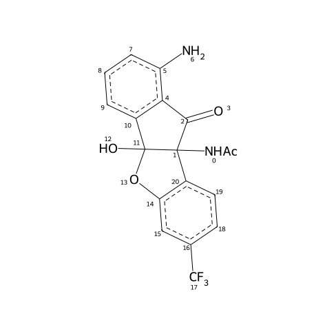 CC(=O)NC12C(=O)c3c(N)cccc3C1(O)Oc1cc(C(F)(F)F)ccc12